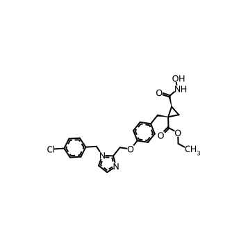 CCOC(=O)[C@@]1(Cc2ccc(OCc3nccn3Cc3ccc(Cl)cc3)cc2)C[C@@H]1C(=O)NO